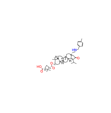 Cc1ccc(CNCC[C@@]23CC[C@]4(C)[C@H](CC[C@@H]5[C@@]6(C)CC[C@H](OC(=O)[C@H]7C[C@@H](C(=O)O)C7(C)C)C(C)(C)[C@@H]6CC[C@]54C)C2=C(C(C)C)C(=O)C3)cc1